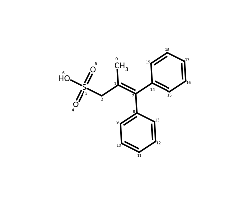 CC(CS(=O)(=O)O)=C(c1ccccc1)c1ccccc1